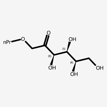 CCCOCC(=O)[C@H](O)[C@@H](O)[C@H](O)CO